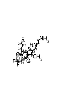 Cc1c(CNCCN)sc2c1c(=O)n(CC(F)(F)F)c(=O)n2CCCF